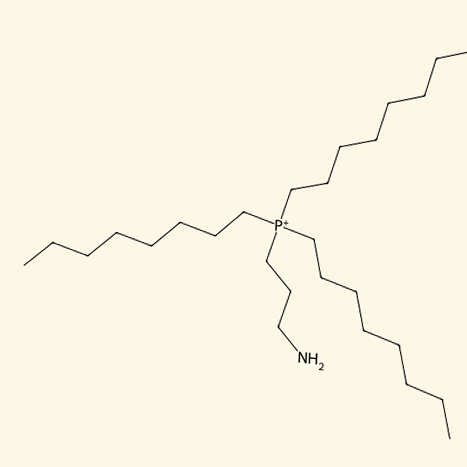 CCCCCCCC[P+](CCCN)(CCCCCCCC)CCCCCCCC